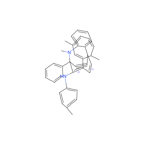 CC1=CC=CC(C)C(C2=C(/Nc3ccc(C)cc3)C3(c4ccccc4)C#CC(/C=C\2)c2ccccc2N3C)=C1